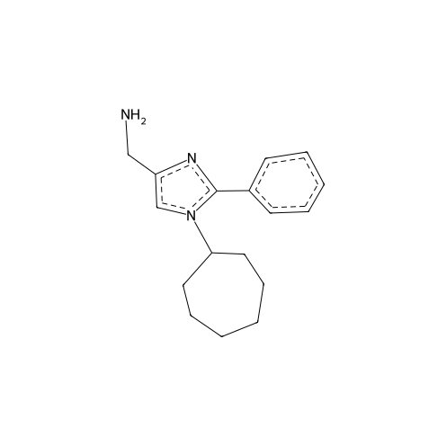 NCc1cn(C2CCCCCC2)c(-c2ccccc2)n1